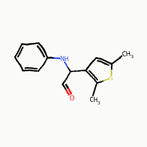 Cc1cc(C(C=O)Nc2ccccc2)c(C)s1